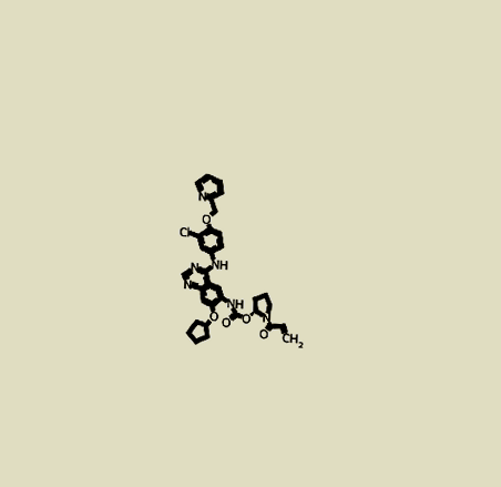 C=CC(=O)N1CCC[C@@H]1OC(=O)Nc1cc2c(Nc3ccc(OCc4ccccn4)c(Cl)c3)ncnc2cc1OC1CCCC1